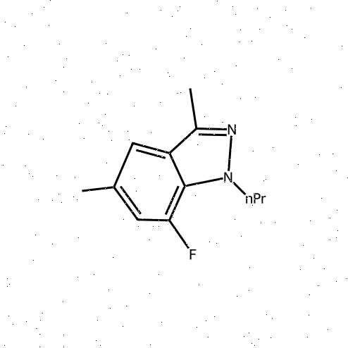 CCCn1nc(C)c2cc(C)cc(F)c21